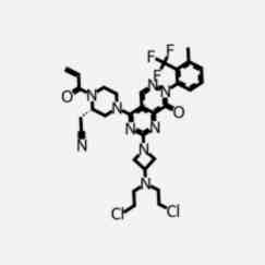 C=CC(=O)N1CCN(c2nc(N3CC(N(CCCl)CCCl)C3)nc3c(=O)n(-c4cccc(C)c4C(F)(F)F)ncc23)C[C@@H]1CC#N